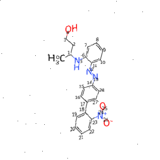 CC(CCO)Nc1ccccc1/N=N/c1ccc(-c2ccccc2[N+](=O)[O-])cc1